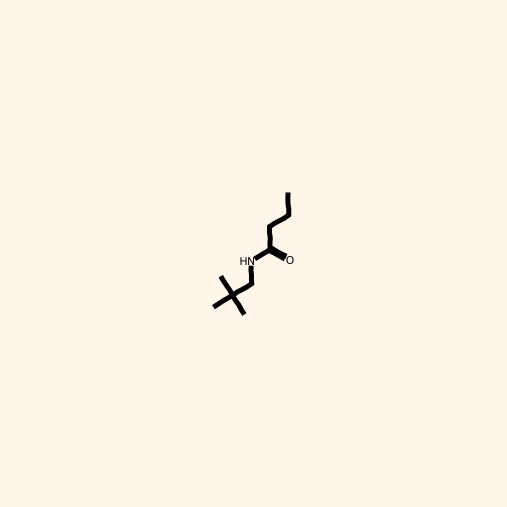 CCCC(=O)NCC(C)(C)C